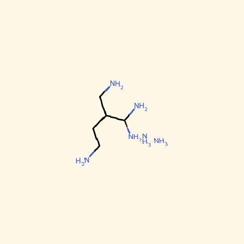 N.N.NCCC(CN)C(N)N